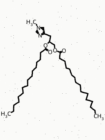 CCCCCCCCCCCCCCCC(=O)OCC(Cc1cn(C)cn1)OC(=O)CCCCCCCCCCCCCCC